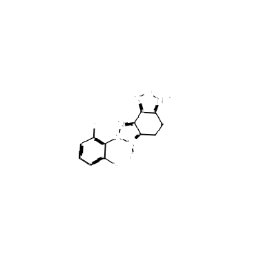 [O-][n+]1onc2c1CCc1c-2nn(-c2c(F)cccc2F)[n+]1[O-]